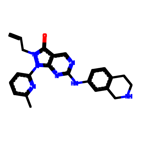 C=CCn1c(=O)c2cnc(Nc3ccc4c(c3)CNCC4)nc2n1-c1cccc(C)n1